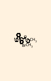 CC1CC(C)CN(C(=O)CCC2(c3ccc(Br)cc3)c3ccccc3-c3nccn32)C1